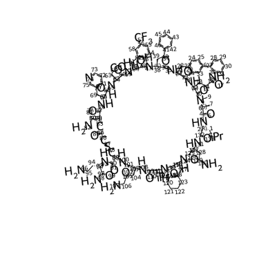 CC(C)C[C@H]1NC(=O)[C@H](C)N(C)C(=O)[C@H](CCC(N)=O)NC(=O)[C@H](Cc2ccc(-c3ccccc3)cc2)NC(=O)[C@H](CCc2ccccc2)NC(=O)[C@H](Cc2cccc(C(F)(F)F)c2)NC(=O)[C@H](CC(=O)O)NC(=O)[C@H](Cc2cccnc2)NC(=O)[C@H]([C@@H](C)N)CC(=O)CSC[C@@H](C(=O)N[C@@H](CCN)C(N)=O)NC(=O)[C@H](CCCN)NC(=O)[C@H](C(C)C)NC(=O)[C@H](CC2CCCCC2)NC(=O)[C@H](CCN)NC1=O